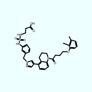 Cc1cccc(OCCCC(=O)N2CCCc3c(-c4cnn(Cc5cccc(NS(=O)(=O)NCCC(=O)O)c5)c4)cccc32)c1C